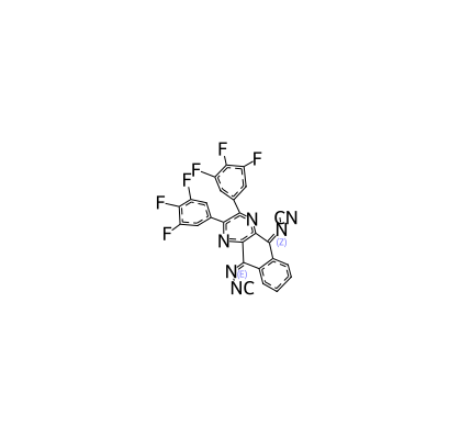 [C-]#[N+]/N=C1\c2ccccc2/C(=N/C#N)c2nc(-c3cc(F)c(F)c(F)c3)c(-c3cc(F)c(F)c(F)c3)nc21